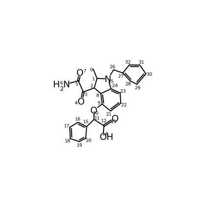 CC1C(C(=O)C(N)=O)c2c(OC(C(=O)O)c3ccccc3)cccc2N1Cc1ccccc1